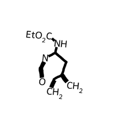 C=CC(=C)CC(N=C=O)NC(=O)OCC